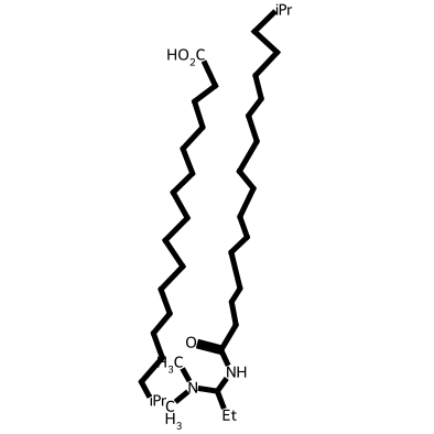 CC(C)CCCCCCCCCCCCCCC(=O)O.CCC(NC(=O)CCCCCCCCCCCCCCC(C)C)N(C)C